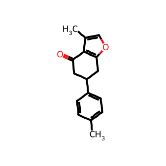 Cc1ccc(C2CC(=O)c3c(C)coc3C2)cc1